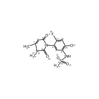 Cc1cc(=O)n(-c2cc(NS(C)(=O)=O)c(Cl)cc2F)c(=O)n1C